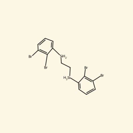 Brc1cccc([SiH2]CC[SiH2]c2cccc(Br)c2Br)c1Br